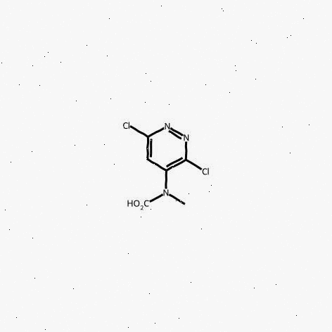 CN(C(=O)O)c1cc(Cl)nnc1Cl